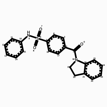 O=C(c1ccc(S(=O)(=O)Nc2ccccc2)cc1)N1CCc2ccccc21